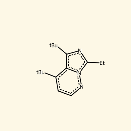 CCc1nc(C(C)(C)C)c2c(C(C)(C)C)ccnn12